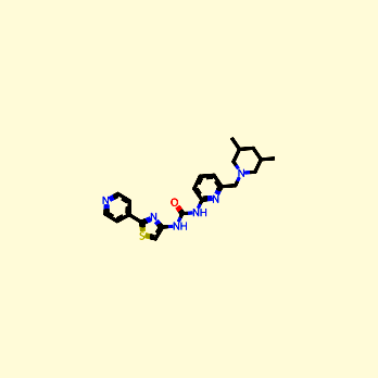 CC1CC(C)CN(Cc2cccc(NC(=O)Nc3csc(-c4ccncc4)n3)n2)C1